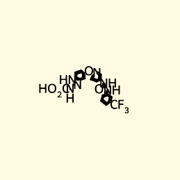 O=C(O)Nc1nc2cc(Oc3ccc(NC(=O)Nc4cccc(C(F)(F)F)c4)cn3)ccc2[nH]1